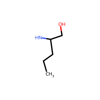 CCCC([NH])CO